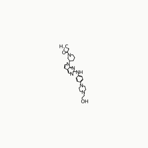 C=CC(=O)N1CCCC(n2ccc3cnc(Nc4ccc(N5CCN(CCO)CC5)cc4)nc32)C1